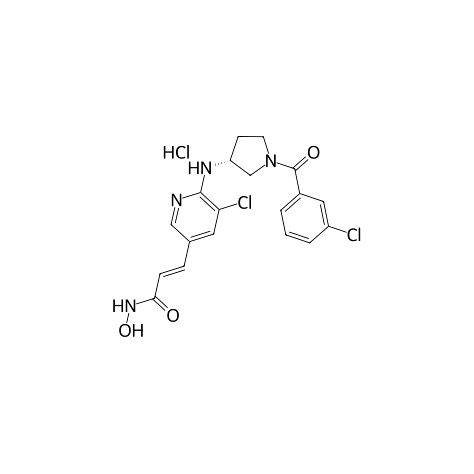 Cl.O=C(/C=C/c1cnc(N[C@@H]2CCN(C(=O)c3cccc(Cl)c3)C2)c(Cl)c1)NO